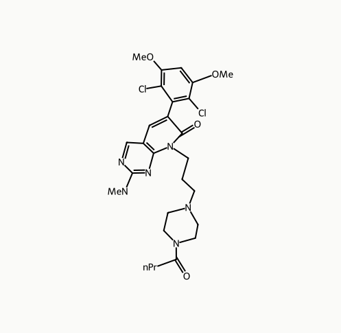 CCCC(=O)N1CCN(CCCn2c(=O)c(-c3c(Cl)c(OC)cc(OC)c3Cl)cc3cnc(NC)nc32)CC1